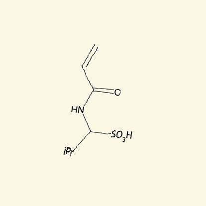 C=CC(=O)NC(C(C)C)S(=O)(=O)O